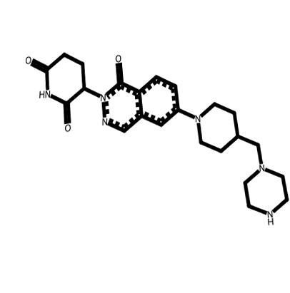 O=C1CCC(n2ncc3cc(N4CCC(CN5CCNCC5)CC4)ccc3c2=O)C(=O)N1